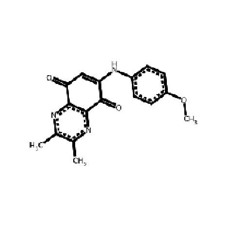 COc1ccc(NC2=CC(=O)c3nc(C)c(C)nc3C2=O)cc1